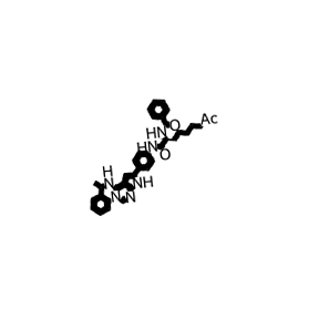 CC(=O)CCCCC[C@H](NC(=O)c1ccccc1)C(=O)Nc1ccc(-c2cc3c(NC(C)c4ccccc4)ncnc3[nH]2)cc1